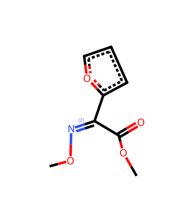 CO/N=C(\C(=O)OC)c1ccco1